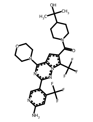 CC(C)(O)C1CCN(C(=O)c2cc3c(N4CCOCC4)nc(-c4cnc(N)cc4C(F)(F)F)nn3c2C(F)(F)F)CC1